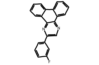 Fc1cccc(-c2cnc3c4ccccc4c4ccccc4c3n2)c1